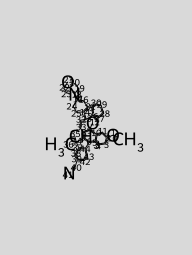 COc1ccc2c3c(c4c(c2c1)OC(C1=CC=C(N2CCOCC2)CC1)(c1ccccc1)C=C4)C(C)(C)c1cc(C#N)ccc1-3